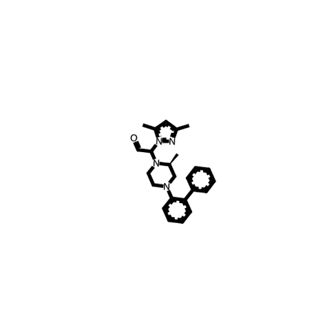 Cc1cc(C)n(C(C=O)N2CCN(c3ccccc3-c3ccccc3)C[C@@H]2C)n1